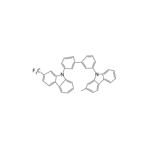 Cc1ccc2c3ccccc3n(-c3cccc(-c4cccc(-n5c6ccccc6c6ccc(C(F)(F)F)cc65)c4)c3)c2c1